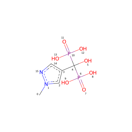 Cn1cc(C(O)(P(=O)(O)O)P(=O)(O)O)cn1